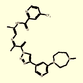 C=C(/C(C)=N\C=C(/C)NC(=O)c1cc(C(F)(F)F)ccn1)n1cc(-c2cncc(N3CCCN(C)CC3)c2)nn1